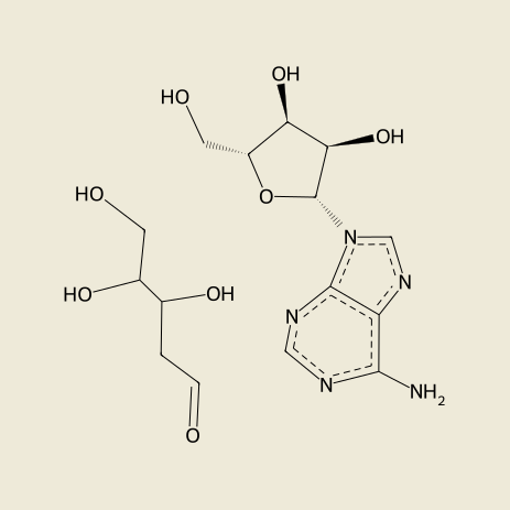 Nc1ncnc2c1ncn2[C@@H]1O[C@H](CO)[C@@H](O)[C@H]1O.O=CCC(O)C(O)CO